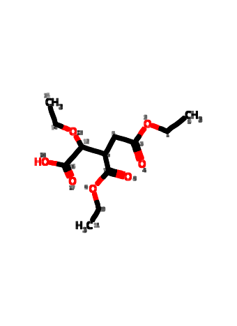 CCOC(=O)CC(C(=O)OCC)C(OCC)C(=O)O